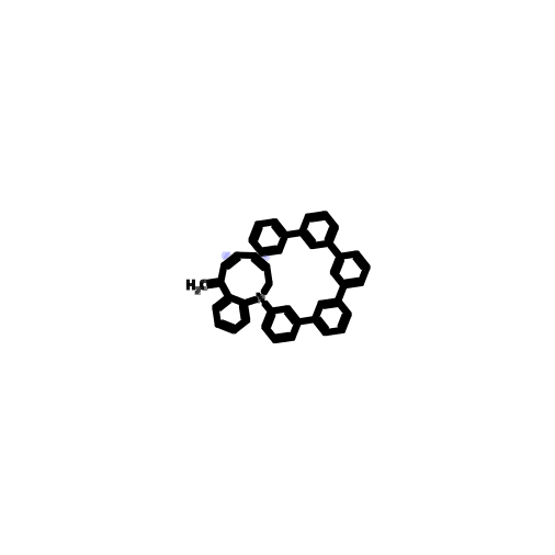 C=C1/C=C\C=C/CN(c2cccc(-c3cccc(-c4cccc(-c5cccc(-c6ccccc6)c5)c4)c3)c2)c2ccccc21